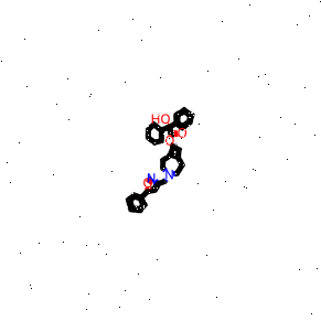 O=C(O[C@H]1CC2CCN(Cc3cc(-c4ccccc4)on3)CCC21)[C@](O)(c1ccccc1)C1CCCCC1